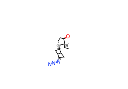 CC[C@]1(C)C(=O)CC[C@H]1[C@@H]1CC2C1C[C@H]2N=[N+]=[N-]